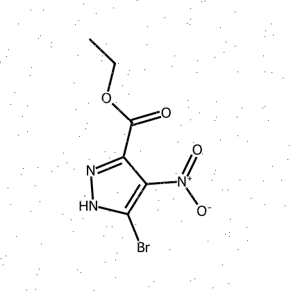 CCOC(=O)c1n[nH]c(Br)c1[N+](=O)[O-]